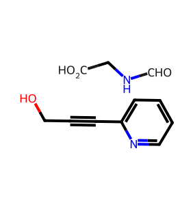 O=CNCC(=O)O.OCC#Cc1ccccn1